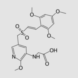 COc1cc(OC)c(/C=C/S(=O)(=O)Cc2cnc(OC)c(NCC(=O)O)c2)c(OC)c1